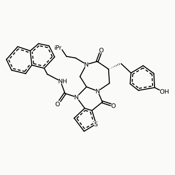 CC(C)CCN1CC2N(C[C@@H](Cc3ccc(O)cc3)C1=O)C(=O)c1sccc1N2C(=O)NCc1cccc2ccccc12